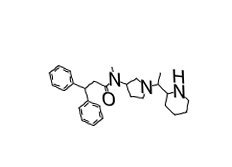 CC(C1CCCCN1)N1CCC(N(C)C(=O)CC(c2ccccc2)c2ccccc2)C1